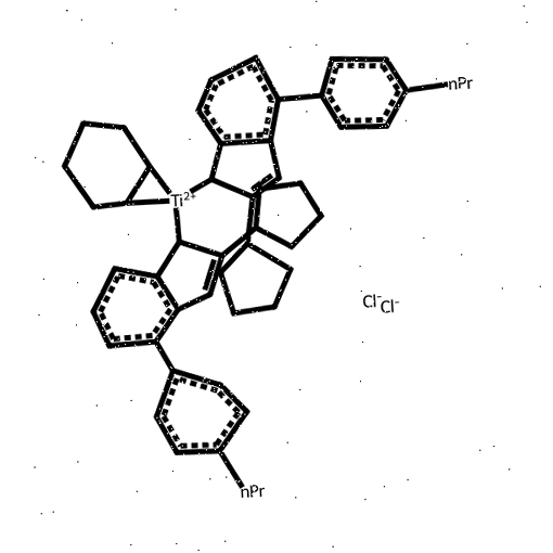 CCCc1ccc(-c2cccc3c2C=C(C2CCCC2)[CH]3[Ti+2]2([CH]3C(C4CCCC4)=Cc4c(-c5ccc(CCC)cc5)cccc43)[CH]3CCCC[CH]32)cc1.[Cl-].[Cl-]